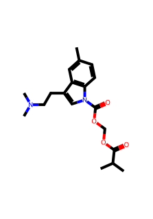 Cc1ccc2c(c1)c(CCN(C)C)cn2C(=O)OCOC(=O)C(C)C